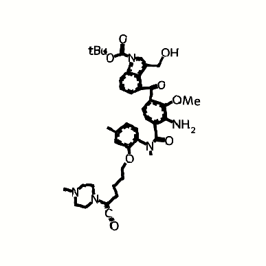 COc1c(C(=O)c2cccc3c2c(CO)cn3C(=O)OC(C)(C)C)ccc(C(=O)N(C)c2ccc(C)cc2OCCCCC(=C=O)N2CCN(C)CC2)c1N